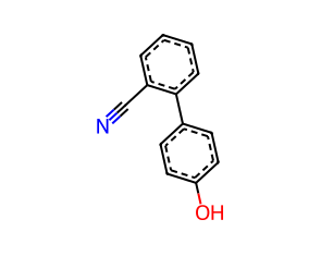 N#Cc1ccccc1-c1ccc(O)cc1